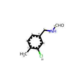 Cc1ccc(CNC=O)cc1Cl